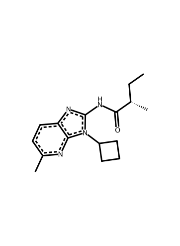 CC[C@H](C)C(=O)Nc1nc2ccc(C)nc2n1C1CCC1